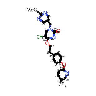 COc1ncc(Cn2cc(Cl)c(OCCc3ccc(Oc4ccc(C(F)(F)F)cn4)cc3)nc2=O)cn1